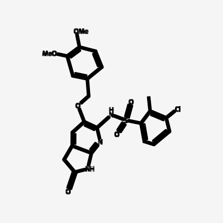 COc1ccc(COc2cc3c(nc2NS(=O)(=O)c2cccc(Cl)c2C)NC(=O)C3)cc1OC